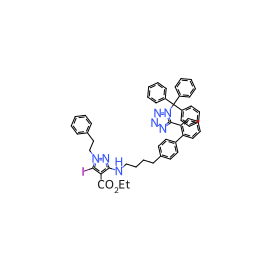 CCOC(=O)c1c(NCCCCc2ccc(-c3ccccc3-c3nnnn3C(c3ccccc3)(c3ccccc3)c3ccccc3)cc2)nn(CCc2ccccc2)c1I